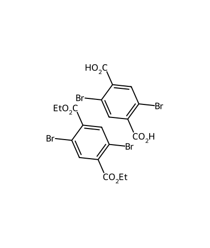 CCOC(=O)c1cc(Br)c(C(=O)OCC)cc1Br.O=C(O)c1cc(Br)c(C(=O)O)cc1Br